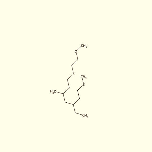 CCC(CCSC)CC(C)CCSCCOC